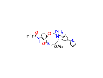 CCCC(=O)Nc1ccc2c(c1)C(=O)N(C)C[C@H](OC)[C@@H](C)CN(Cc1ccc(-c3ccccn3)cc1)[C@@H](N)CO2